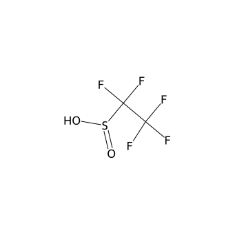 O=S(O)C(F)(F)C(F)(F)F